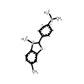 Cc1ccc2c(c1)SC(c1ccc(N(C)C)cc1)N2C